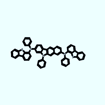 c1ccc(N(c2ccc3cc4c5ccc(N(c6ccccc6)c6cccc7c6sc6ccccc67)cc5n(-c5ccccc5)c4cc3c2)c2cccc3c2sc2ccccc23)cc1